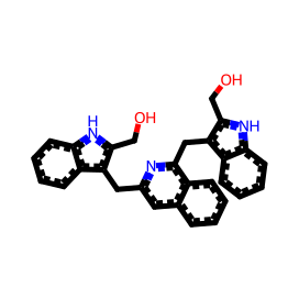 OCc1[nH]c2ccccc2c1Cc1cc2ccccc2c(Cc2c(CO)[nH]c3ccccc23)n1